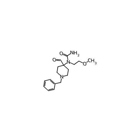 COCCN(C(N)=O)C1(C=O)CCN(Cc2ccccc2)CC1